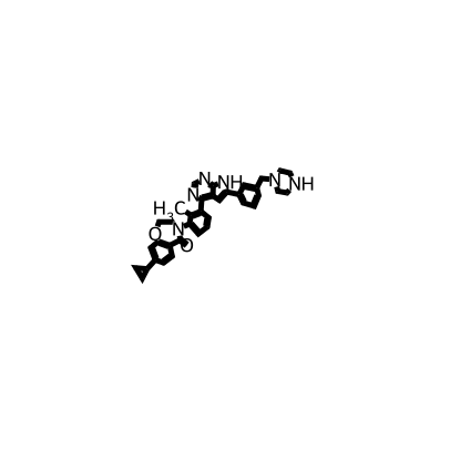 Cc1c(-c2ncnc3[nH]c(-c4cccc(CN5CCNCC5)c4)cc23)cccc1N1CCOc2cc(C3CC3)ccc2C1=O